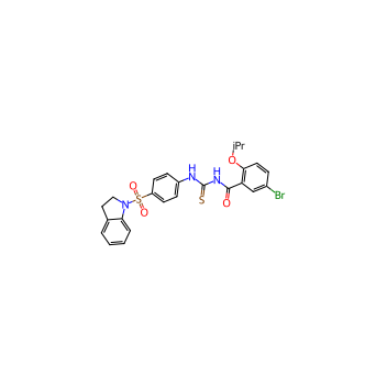 CC(C)Oc1ccc(Br)cc1C(=O)NC(=S)Nc1ccc(S(=O)(=O)N2CCc3ccccc32)cc1